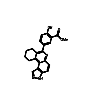 COC(=O)c1cc(-c2nc3ccc4[nH]ncc4c3c3c2CCCC3)ccc1O